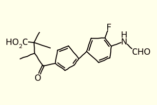 CC(C(=O)c1ccc(-c2ccc(NC=O)c(F)c2)cc1)C(C)(C)C(=O)O